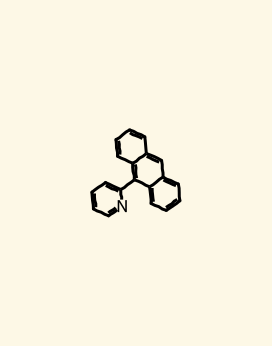 c1ccc(-c2c3ccccc3cc3ccccc23)nc1